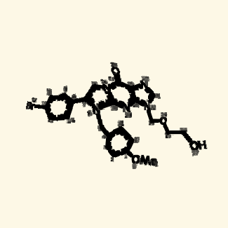 COc1ccc(Cn2c(-c3ccc(Br)cc3)cn3c(=O)c4ncn(COCCO)c4nc23)cc1